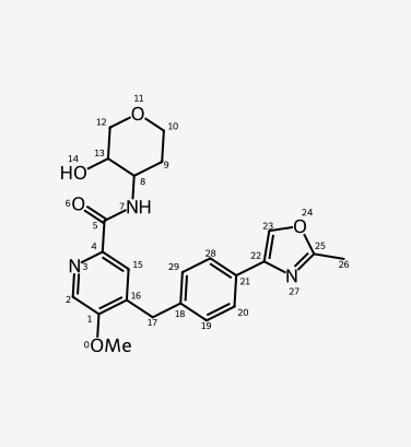 COc1cnc(C(=O)NC2CCOCC2O)cc1Cc1ccc(-c2coc(C)n2)cc1